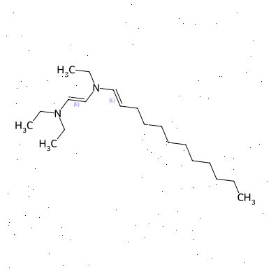 CCCCCCCCCC/C=C/N(/C=C/N(CC)CC)CC